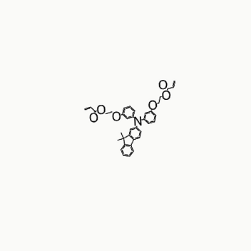 C=CC(=O)OCCOc1cccc(N(c2cccc(OCCOC(=O)C=C)c2)c2ccc3c(c2)C(C)(C)c2ccccc2-3)c1